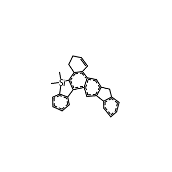 C[Si]1(C)c2ccccc2-c2c1c1c(c3cc4c(cc23)-c2ccccc2C4)C=CCC1